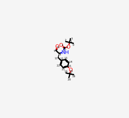 CC(C)(C)OC(=O)N[C@H](C=O)Cc1ccc(OC(C)(C)C)cc1